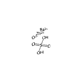 O=S(=O)(O)O.[Ba+2].[O-2].[Zn+2]